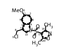 COc1ccc2c(c1)c(CCl)cn2S(=O)(=O)c1c(C)noc1C